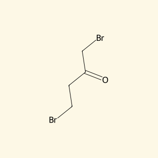 O=C(CBr)CCBr